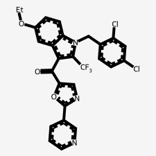 CCOc1ccc2c(c1)c(C(=O)c1cnc(-c3cccnc3)o1)c(C(F)(F)F)n2Cc1ccc(Cl)cc1Cl